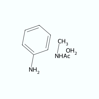 CNC(C)=O.Nc1ccccc1.O